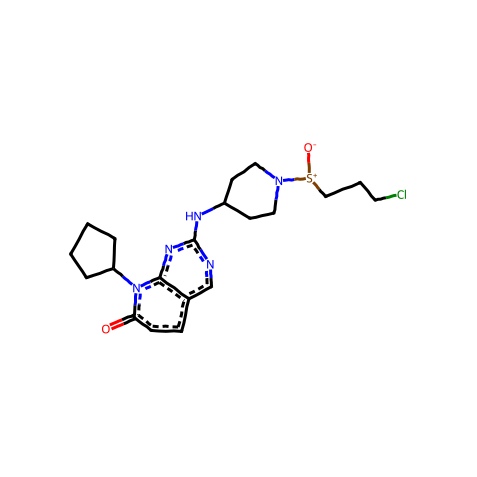 O=c1ccc2cnc(NC3CCN([S+]([O-])CCCCl)CC3)nc2n1C1CCCC1